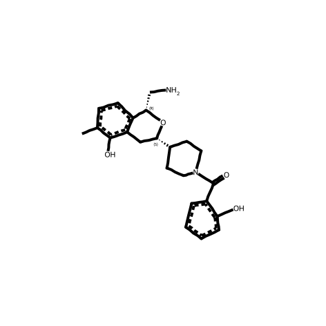 Cc1ccc2c(c1O)C[C@@H](C1CCN(C(=O)c3ccccc3O)CC1)O[C@H]2CN